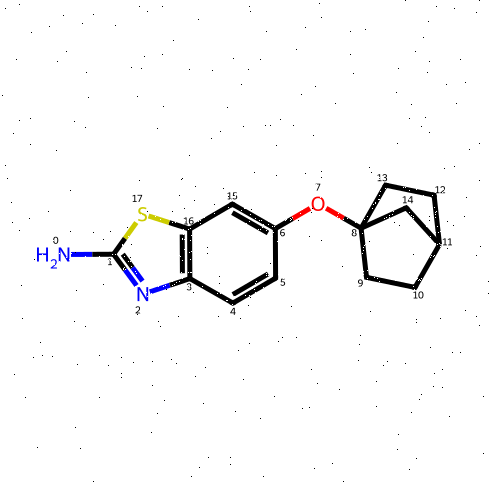 Nc1nc2ccc(OC34CCC(CC3)C4)cc2s1